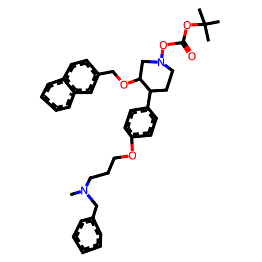 CN(CCCOc1ccc(C2CCN(OC(=O)OC(C)(C)C)CC2OCc2ccc3ccccc3c2)cc1)Cc1ccccc1